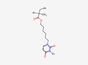 CCn1c(=O)ccn(CCCCCCOC(=O)C(C)(CC(C)C)C(C)C)c1=O